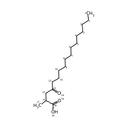 CCCCCCCCCCCCCC(=O)CC(C)C(=O)O